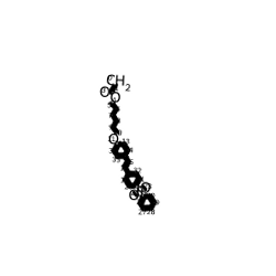 C=CC(=O)OCCCCCCOc1ccc(C=Cc2ccc(S(=O)(=O)c3ccccc3)cc2)cc1